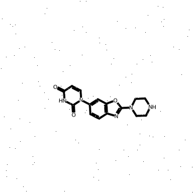 O=c1ccn(-c2ccc3nc(N4CCNCC4)oc3c2)c(=O)[nH]1